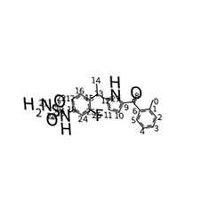 Cc1ccccc1C(=O)c1ccc(C(C)c2ccc(NS(N)(=O)=O)cc2F)[nH]1